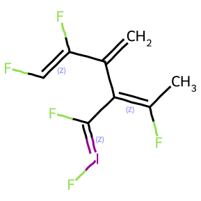 C=C(/C(F)=C/F)C(/C(F)=I/F)=C(\C)F